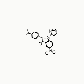 CC(C)c1ccc(NC(=O)c2cc([N+](=O)[O-])ccc2Sc2ccncn2)cc1